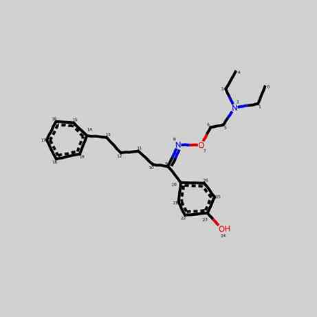 CCN(CC)CCON=C(CCCCc1ccccc1)c1ccc(O)cc1